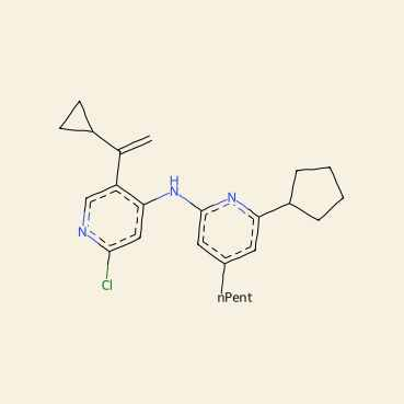 C=C(c1cnc(Cl)cc1Nc1cc(CCCCC)cc(C2CCCC2)n1)C1CC1